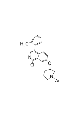 CC(=O)N1CCCC(Oc2ccc3c(-c4ccccc4C)cnc(Cl)c3c2)C1